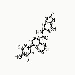 Cc1cn2cc(NC(=O)c3ccc(N4C[C@@H](C)N(O)[C@@H](C)C4)c4nccnc34)cc(F)c2n1